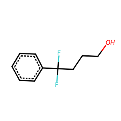 OCCCC(F)(F)c1ccccc1